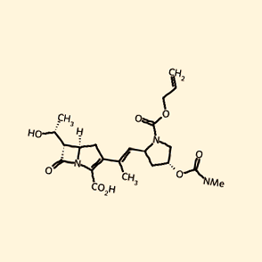 C=CCOC(=O)N1C[C@H](OC(=O)NC)C[C@H]1C=C(C)C1=C(C(=O)O)N2C(=O)[C@H]([C@@H](C)O)[C@H]2C1